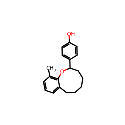 Cc1cccc2c1OC(c1ccc(O)cc1)CCCCC2